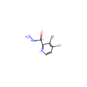 CC(=O)c1c(Cl)ccnc1C(=O)NN